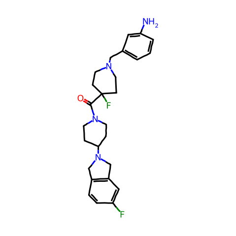 Nc1cccc(CN2CCC(F)(C(=O)N3CCC(N4Cc5ccc(F)cc5C4)CC3)CC2)c1